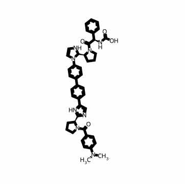 CN(C)c1ccc(C(=O)N2CCC[C@H]2c2ncc(-c3ccc(-c4ccc(N5C=CNC5[C@@H]5CCCN5C(=O)[C@H](NC(=O)O)c5ccccc5)cc4)cc3)[nH]2)cc1